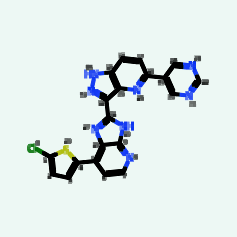 Clc1ccc(-c2ccnc3[nH]c(-c4n[nH]c5ccc(-c6cncnc6)nc45)nc23)s1